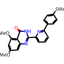 COc1cc(OC)c2c(=O)[nH]c(-c3cccc(-c4ccc(SC)cc4)n3)nc2c1